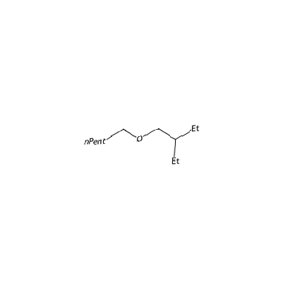 [CH2]CCCCCOCC(CC)CC